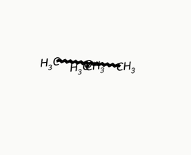 CC.CCCCCCCCCCCCOCCCCCCCCCCCC